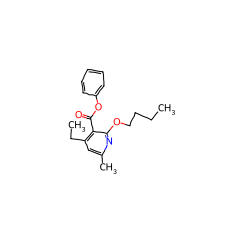 CCCCOc1nc(C)cc(CC)c1C(=O)Oc1ccccc1